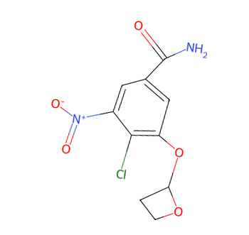 NC(=O)c1cc(OC2CCO2)c(Cl)c([N+](=O)[O-])c1